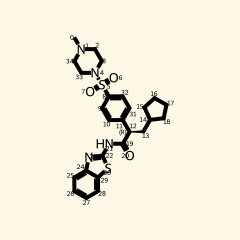 CN1CCN(S(=O)(=O)c2ccc([C@@H](CC3CCCC3)C(=O)Nc3nc4ccccc4s3)cc2)CC1